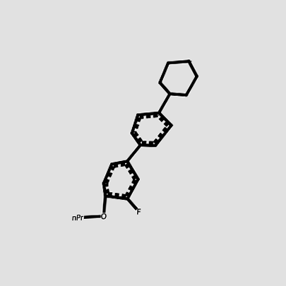 CCCOc1ccc(-c2ccc(C3CC[CH]CC3)cc2)cc1F